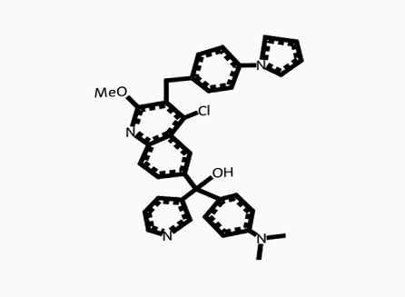 COc1nc2ccc(C(O)(c3ccc(N(C)C)cc3)c3cccnc3)cc2c(Cl)c1Cc1ccc(-n2cccc2)cc1